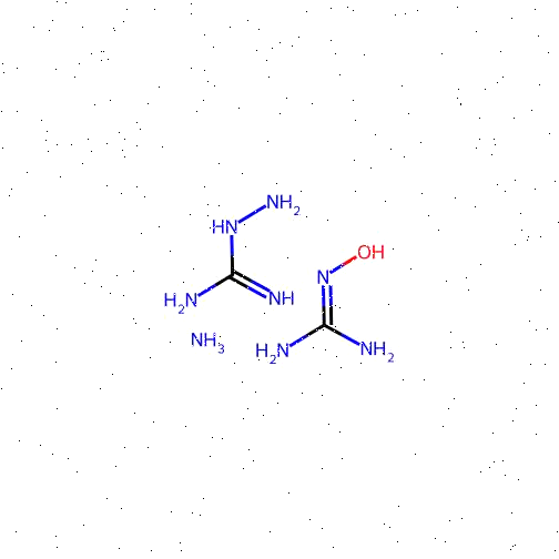 N.N=C(N)NN.NC(N)=NO